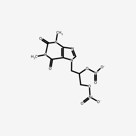 Cn1c(=O)c2c(ncn2CC(CO[N+](=O)[O-])O[N+](=O)[O-])n(C)c1=O